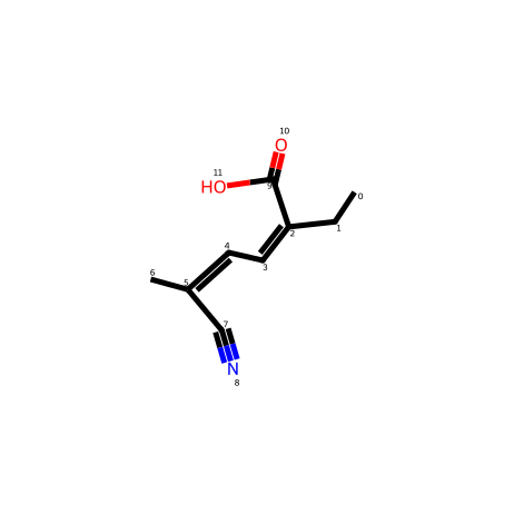 CCC(=CC=C(C)C#N)C(=O)O